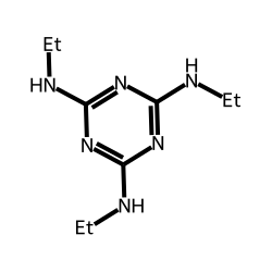 CCNc1nc(NCC)nc(NCC)n1